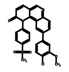 COc1cc(-c2ccc3ncc4ccc(=O)n(-c5ccc(S(C)(=O)=O)cc5)c4c3c2)ccc1Cl